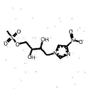 CS(=O)(=O)OCC(O)C(O)Cn1cnc([N+](=O)[O-])c1